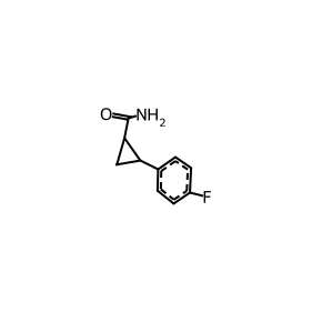 NC(=O)C1CC1c1ccc(F)cc1